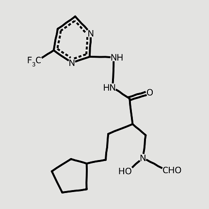 O=CN(O)CC(CCC1CCCC1)C(=O)NNc1nccc(C(F)(F)F)n1